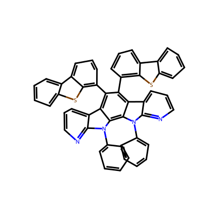 c1ccc(-n2c3ncccc3c3c(-c4cccc5c4sc4ccccc45)c(-c4cccc5c4sc4ccccc45)c4c5cccnc5n(-c5ccccc5)c4c32)cc1